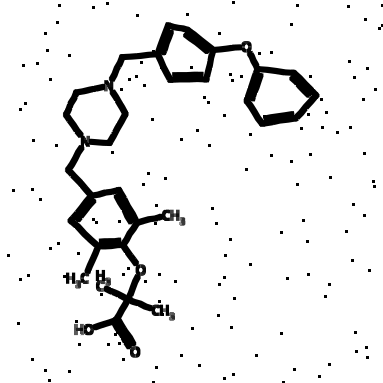 Cc1cc(CN2CCN(Cc3ccc(Oc4ccccc4)cc3)CC2)cc(C)c1OC(C)(C)C(=O)O